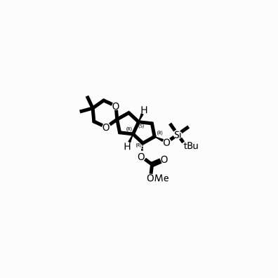 COC(=O)O[C@@H]1[C@@H]2CC3(C[C@@H]2C[C@H]1O[Si](C)(C)C(C)(C)C)OCC(C)(C)CO3